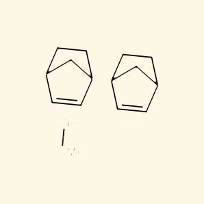 C1=CC2CCC1C2.C1=CC2CCC1C2.CO[SiH3]